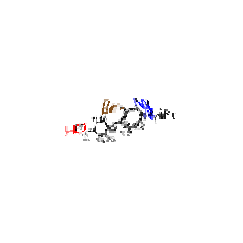 CC(C)Cn1nnc2c(Br)c(-c3ccc(CO)cc3)ccc21